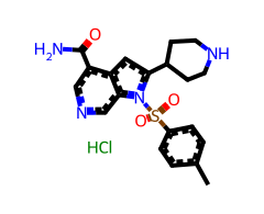 Cc1ccc(S(=O)(=O)n2c(C3CCNCC3)cc3c(C(N)=O)cncc32)cc1.Cl